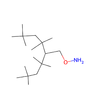 CC(C)(C)CC(C)(C)C(CON)C(C)(C)CC(C)(C)C